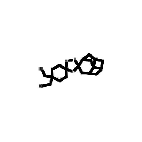 OCC1(CO)CCC2(CC1)OOC1(O2)C2CC3CC4CC1CC34C2